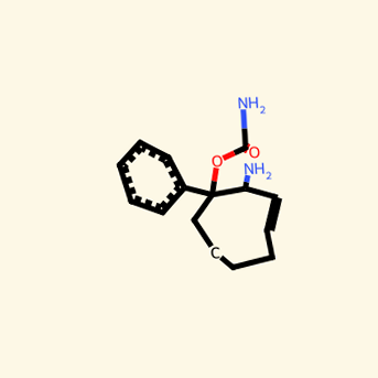 NC(=O)OC1(c2ccccc2)CCCC/C=C/C1N